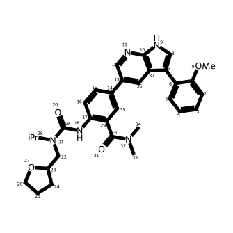 COc1ccccc1-c1c[nH]c2ncc(-c3ccc(NC(=O)N(CC4CCCO4)C(C)C)c(C(=O)N(C)C)c3)cc12